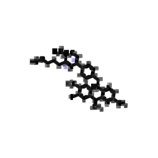 C=C(c1ccc(C)c(F)c1)c1nc(N)cnc1NCc1ccc(C(=C/C)/N=C(\CN)CCCOS)cc1